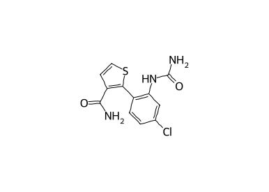 NC(=O)Nc1cc(Cl)ccc1-c1sccc1C(N)=O